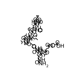 CC[C@H](C)[C@@H]([C@@H](CC(=O)N1CCC[C@H]1[C@H](OC)[C@@H](C)C(=O)N[C@@H](Cc1ccccc1)C(=O)NS(=O)(=O)C1CC1)OC)N(C)C(=O)[C@@H](NC(=O)[C@H](C(C)C)N(C)C(=O)OCc1ccc(NC(=O)[C@H](CCCNC(N)=O)NC(=O)[C@@H](NC(=O)CCC(=O)N2CCC(C(=O)O)CC2)C(C)C)cc1)C(C)C